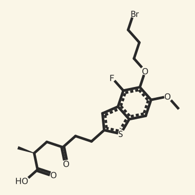 COc1cc2sc(CCC(=O)C[C@H](C)C(=O)O)cc2c(F)c1OCCCBr